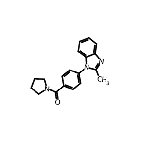 Cc1nc2ccccc2n1-c1ccc(C(=O)N2C[CH]CC2)cc1